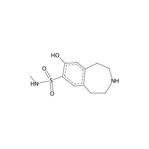 CNS(=O)(=O)c1cc2c(cc1O)CCNCC2